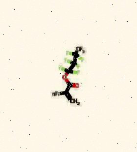 C=C(CCC)C(=O)OC(F)(F)C(F)(F)C(F)(F)C(F)(F)F